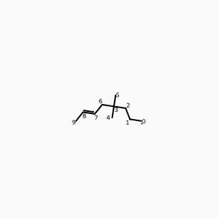 [CH2]CCC(C)(C)CC=CC